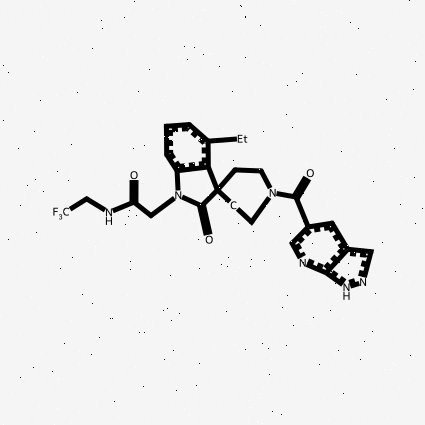 CCc1cccc2c1C1(CCN(C(=O)c3cnc4[nH]ncc4c3)CC1)C(=O)N2CC(=O)NCC(F)(F)F